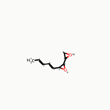 CC=CC=CC1OC1C1CO1